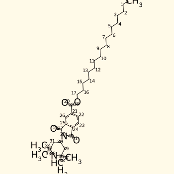 CCCCCCCCCCCCCCCCCCOC(=O)c1ccc2c(c1)C(=O)N(C1CC(C)(C)NC(C)(C)C1)C2=O